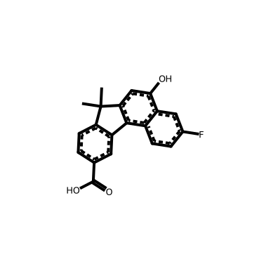 CC1(C)c2ccc(C(=O)O)cc2-c2c1cc(O)c1cc(F)ccc21